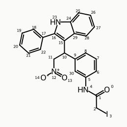 O=C(CI)Nc1cccc(C(C[N+](=O)[O-])c2c(-c3ccccc3)[nH]c3ccccc23)c1